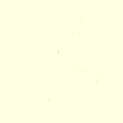 CC1(C)C2CCCCC2C2CCC(N(C3CCC(C4CCCCC4)CC3)C3CCC4C(C3)OC3C5CCCCC5CC(C5CC6CCCCC6O5)C43)CC21